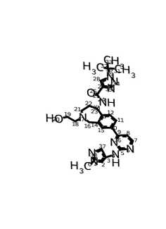 Cn1cc(Nc2nccc(-c3ccc4c(c3)CN(CCO)CC[C@@H]4NC(=O)c3cn(C(C)(C)C)nn3)n2)cn1